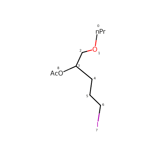 CCCOCC(CCCI)OC(C)=O